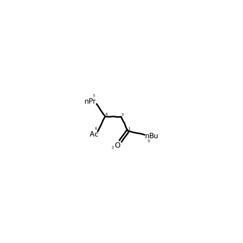 CCCCC(=O)CC(CCC)C(C)=O